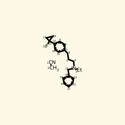 CC#N.CCN(CCCc1ccc(C2(F)CC2)cc1)Cc1ccccc1